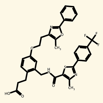 Cc1nc(-c2ccc(C(F)(F)F)cc2)sc1C(=O)NCc1cc(OCCc2nc(-c3ccccc3)oc2C)ccc1CCC(=O)O